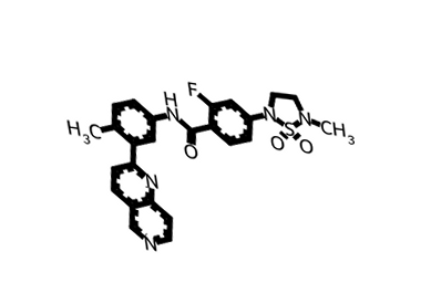 Cc1ccc(NC(=O)c2ccc(N3CCN(C)S3(=O)=O)cc2F)cc1-c1ccc2cnccc2n1